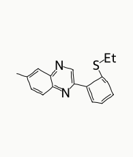 CCSc1ccccc1-c1cnc2cc(C)ccc2n1